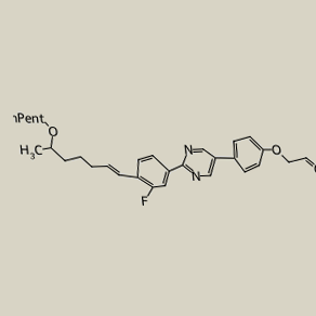 C=CCOc1ccc(-c2cnc(-c3ccc(C=CCCCC(C)OCCCCC)c(F)c3)nc2)cc1